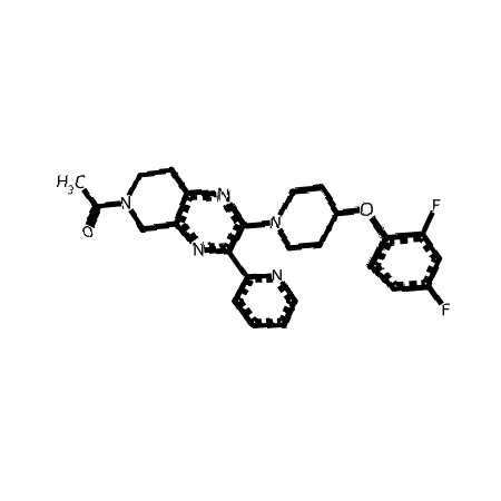 CC(=O)N1CCc2nc(N3CCC(Oc4ccc(F)cc4F)CC3)c(-c3ccccn3)nc2C1